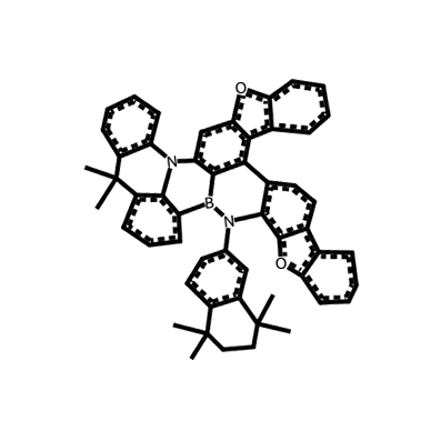 CC1(C)CCC(C)(C)c2cc(N3B4c5cccc6c5N(c5ccccc5C6(C)C)c5cc6oc7ccccc7c6c(c54)-c4ccc5c(oc6ccccc65)c43)ccc21